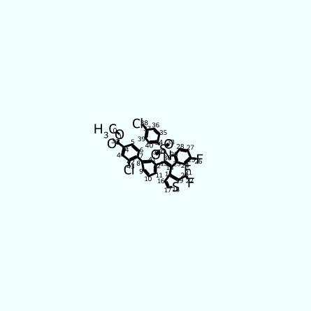 COC(=O)c1ccc(-c2cccc(-c3c(-c4ccsc4C(F)F)c4cc(F)ccc4n3S(=O)(=O)c3ccc(Cl)cc3)c2)c(Cl)c1